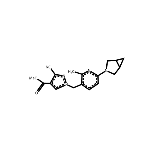 COC(=O)c1cn(Cc2ccc(N3CC4CC4C3)nc2C)nc1C#N